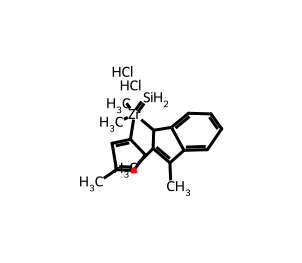 CC1=CC[C]([Zr]([CH3])([CH3])(=[SiH2])[CH]2C(C)=C(C)c3ccccc32)=C1.Cl.Cl